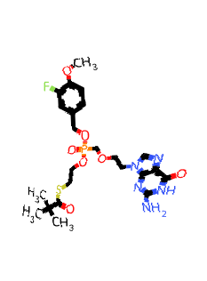 COc1ccc(COP(=O)(COCCn2cnc3c(=O)[nH]c(N)nc32)OCCSC(=O)C(C)(C)C)cc1F